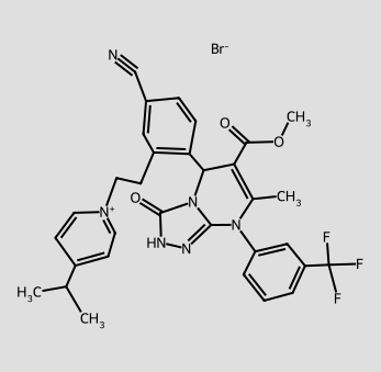 COC(=O)C1=C(C)N(c2cccc(C(F)(F)F)c2)c2n[nH]c(=O)n2C1c1ccc(C#N)cc1CC[n+]1ccc(C(C)C)cc1.[Br-]